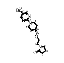 O=C1CCCN1CCON=C1CCN(c2ncc(Br)cn2)CC1